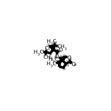 CC(C)(C)CC1(C(=O)OC2C3OC(=O)C4CC2C(C)(C)C43)CC1(C)C